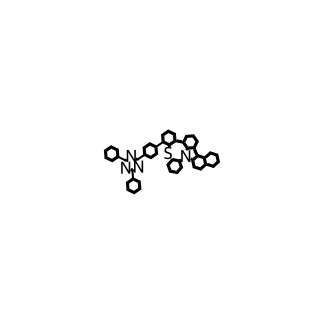 c1ccc(-c2nc(-c3ccccc3)nc(-c3ccc(-c4cccc5c4sc4ccccc4n4c6ccc7ccccc7c6c6cccc5c64)cc3)n2)cc1